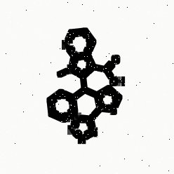 Cn1c(C(c2ccccc2)c2ccsc2-c2nnn[nH]2)c(C(=O)O)c2cccnc21